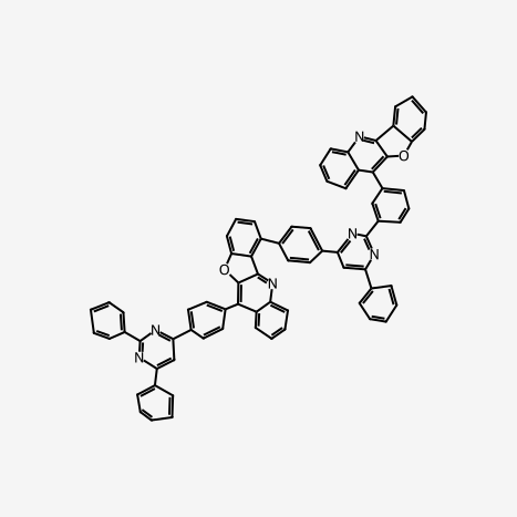 c1ccc(-c2cc(-c3ccc(-c4c5ccccc5nc5c4oc4cccc(-c6ccc(-c7cc(-c8ccccc8)nc(-c8cccc(-c9c%10ccccc%10nc%10c9oc9ccccc9%10)c8)n7)cc6)c45)cc3)nc(-c3ccccc3)n2)cc1